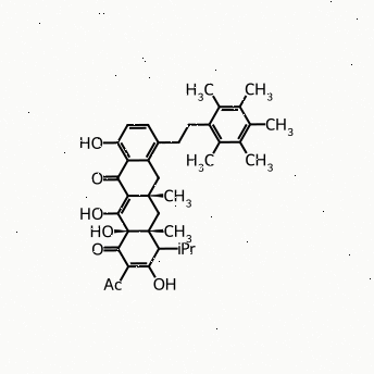 CC(=O)C1=C(O)C(C(C)C)[C@@]2(C)C[C@@]3(C)Cc4c(CCc5c(C)c(C)c(C)c(C)c5C)ccc(O)c4C(=O)C3=C(O)[C@@]2(O)C1=O